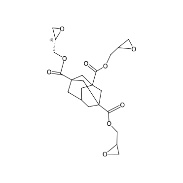 O=C(OCC1CO1)C12CC3CC(C(=O)OCC4CO4)(C1)CC(C(=O)OC[C@@H]1CO1)(C3)C2